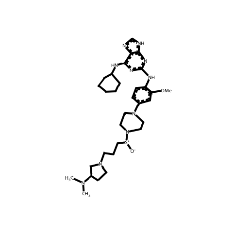 COc1cc(N2CCN([S+]([O-])CCCN3CCC(N(C)C)C3)CC2)ccc1Nc1nc(NC2CCCCC2)c2nc[nH]c2n1